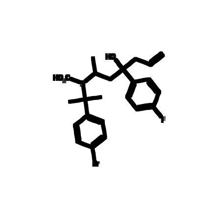 C=CCC(O)(CC(C)N(C(=O)O)C(C)(C)c1ccc(Br)cc1)c1ccc(F)cc1